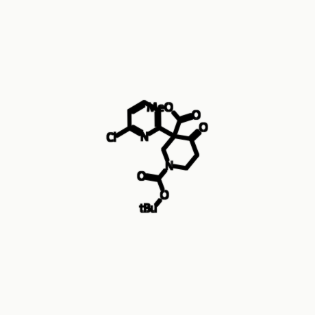 COC(=O)C1(c2cccc(Cl)n2)CN(C(=O)OC(C)(C)C)CCC1=O